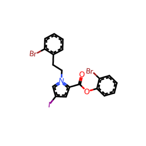 O=C(Oc1ccccc1Br)c1cc(I)cn1CCc1ccccc1Br